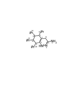 CC(C)C1C2=C(NN=C(N)C2)C(C(C)C)C(C(C)C)C1C(C)C